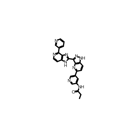 CCC(=O)Nc1cncc(-c2ccc3[nH]nc(-c4nc5c(-c6cccnc6)nccc5[nH]4)c3n2)c1